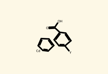 O=C(O)c1cc[c]([Y])cc1.[Cd].c1ccccc1